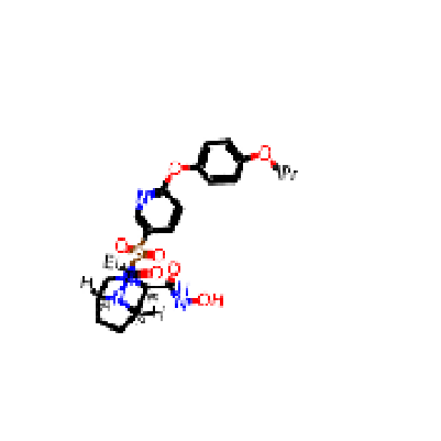 CCC(=O)N1[C@@H]2CC[C@H]1[C@H](C(=O)NO)N(S(=O)(=O)c1ccc(Oc3ccc(OC(C)C)cc3)nc1)C2